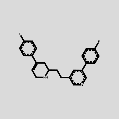 Fc1ccc(C2=CCNC(CCc3cncc(-c4ccc(F)cc4)c3)C2)cc1